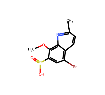 COc1c(S(=O)O)cc(Br)c2ccc(C)nc12